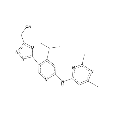 Cc1cc(Nc2cc(C(C)C)c(-c3nnc(CO)o3)cn2)nc(C)n1